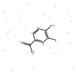 Cc1nc(C(=O)Cl)ccc1F